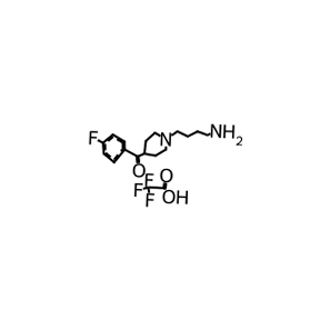 NCCCCN1CCC(C(=O)c2ccc(F)cc2)CC1.O=C(O)C(F)(F)F